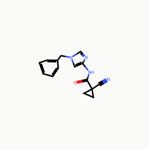 N#CC1(C(=O)Nc2cn(Cc3ccccc3)cn2)CC1